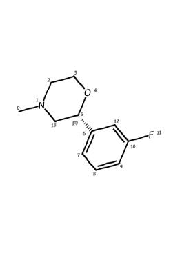 CN1CCO[C@H](c2cccc(F)c2)C1